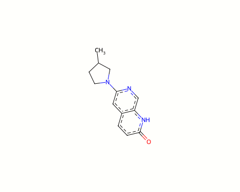 CC1CCN(c2cc3ccc(=O)[nH]c3cn2)C1